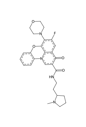 CN1CCCC1CCNC(=O)c1cn2c3c(c(N4CCOCC4)c(F)cc3c1=O)Oc1ccccc1-2